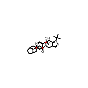 CC(C)(C)n1ncc2c1CCN(C(=O)CN1CC3CCC(C1)N3c1ccc(C(=O)O)cn1)C2